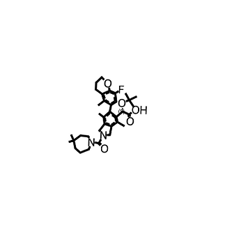 Cc1c(-c2c(C)c3c(c(C)c2[C@H](OC(C)(C)C)C(=O)O)CN(C(=O)N2CCCC(C)(C)CC2)C3)cc(F)c2c1CCCO2